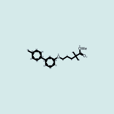 COC(=O)C(C)(C)CCCOc1cccc(-c2ccc(C)cc2)c1